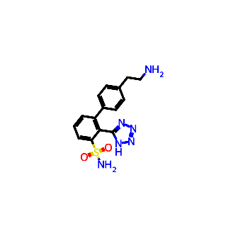 NCCc1ccc(-c2cccc(S(N)(=O)=O)c2-c2nnn[nH]2)cc1